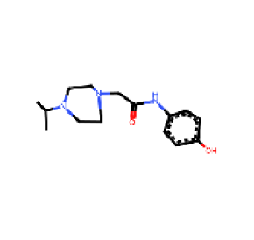 CC(C)N1CCN(CC(=O)Nc2ccc(O)cc2)CC1